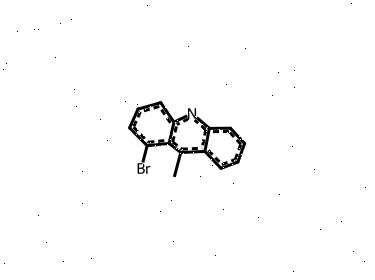 Cc1c2ccccc2nc2cccc(Br)c12